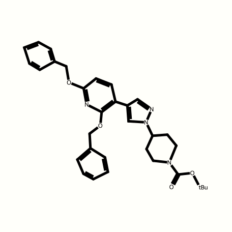 CC(C)(C)OC(=O)N1CCC(n2cc(-c3ccc(OCc4ccccc4)nc3OCc3ccccc3)cn2)CC1